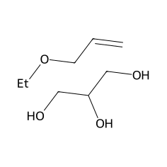 C=CCOCC.OCC(O)CO